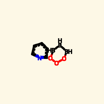 B1BOOOB1.c1ccncc1